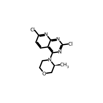 C[C@H]1COCCN1c1nc(Cl)nc2nc(Cl)ccc12